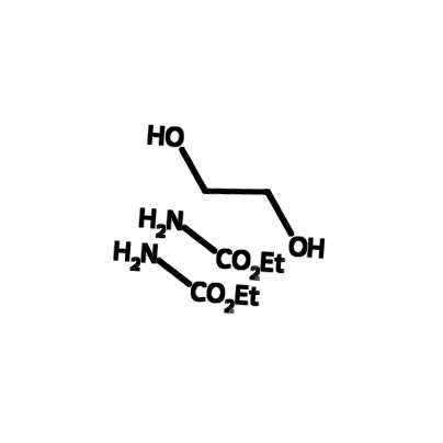 CCOC(N)=O.CCOC(N)=O.OCCO